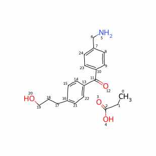 CCC(=O)O.NCc1ccc(C(=O)c2ccc(CCCO)cc2)cc1